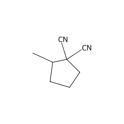 CC1CCCC1(C#N)C#N